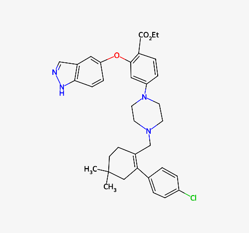 CCOC(=O)c1ccc(N2CCN(CC3=C(c4ccc(Cl)cc4)CC(C)(C)CC3)CC2)cc1Oc1ccc2[nH]ncc2c1